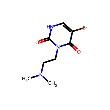 CN(C)CCn1c(=O)[nH]cc(Br)c1=O